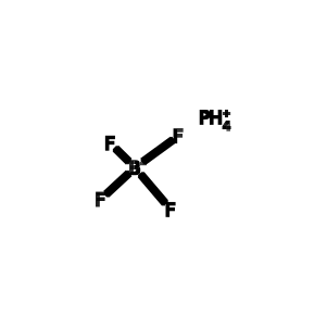 F[B-](F)(F)F.[PH4+]